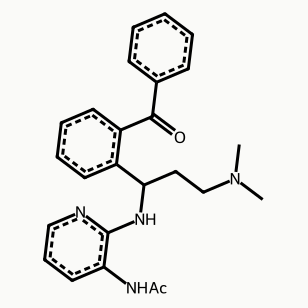 CC(=O)Nc1cccnc1NC(CCN(C)C)c1ccccc1C(=O)c1ccccc1